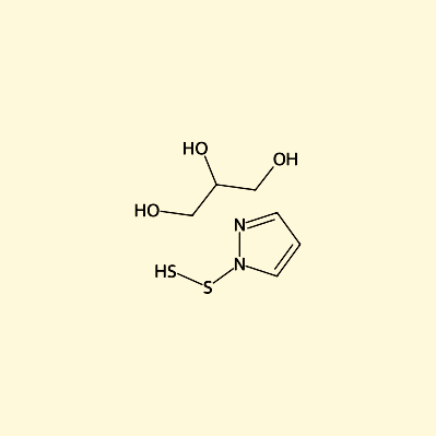 OCC(O)CO.SSn1cccn1